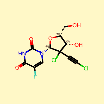 O=c1[nH]c(=O)n([C@@H]2O[C@H](CO)[C@H](O)C2(Cl)C#CCl)cc1F